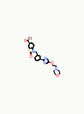 CCC(=O)c1ccc2c(c1)sc(=O)n2Cc1cccc(-c2ncc(OCCN3CCOCC3)cn2)c1